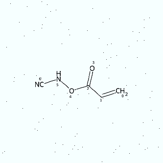 C=CC(=O)ONC#N